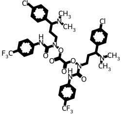 CN(C)C(CCN(OC(=O)C(=O)ON(CCC(c1ccc(Cl)cc1)N(C)C)C(=O)Nc1ccc(C(F)(F)F)cc1)C(=O)Nc1ccc(C(F)(F)F)cc1)c1ccc(Cl)cc1